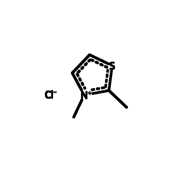 Cc1scc[n+]1C.[Cl-]